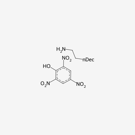 CCCCCCCCCCCCN.O=[N+]([O-])c1cc([N+](=O)[O-])c(O)c([N+](=O)[O-])c1